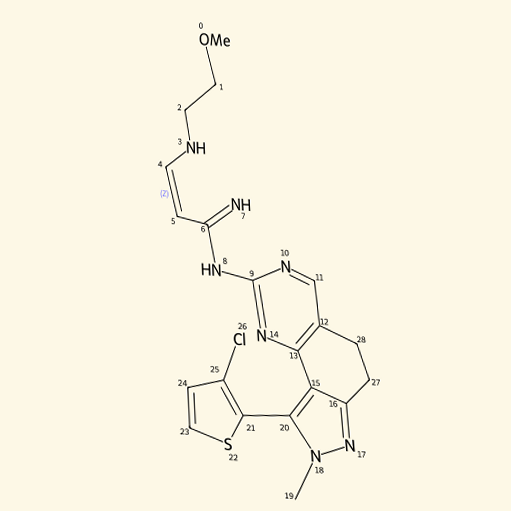 COCCN/C=C\C(=N)Nc1ncc2c(n1)-c1c(nn(C)c1-c1sccc1Cl)CC2